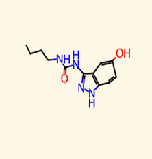 CCCCNC(=O)Nc1n[nH]c2ccc(O)cc12